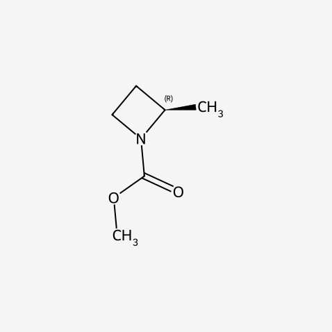 COC(=O)N1CC[C@H]1C